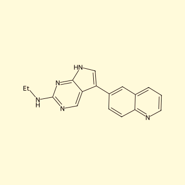 CCNc1ncc2c(-c3ccc4ncccc4c3)c[nH]c2n1